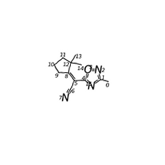 Cc1noc(C(C#N)=C2CCCC2(C)C)n1